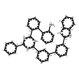 Nc1ccccc1-c1ccccc1-c1nc(-c2ccccc2)nc(-c2cccc(-c3cccc(-c4nc5ccccc5s4)c3)c2)n1